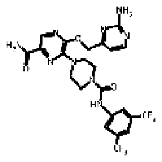 NC(=O)c1cnc(OCc2ccnc(N)n2)c(N2CCN(C(=O)Nc3cc(C(F)(F)F)cc(C(F)(F)F)c3)CC2)n1